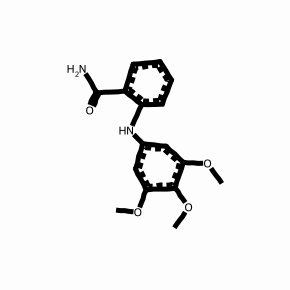 COc1cc(Nc2ccccc2C(N)=O)cc(OC)c1OC